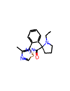 CCN1CCCC1(C(N)=O)c1ccccc1-c1scnc1C